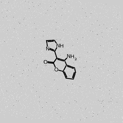 Nc1c(-c2ncc[nH]2)c(=O)oc2ccccc12